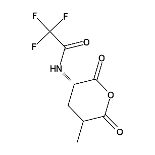 CC1C[C@H](NC(=O)C(F)(F)F)C(=O)OC1=O